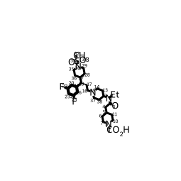 CCN(C(=O)CC1CCN(C(=O)O)CC1)C1CCN(CC[C@@H](c2cc(F)cc(F)c2)C2CCN(S(C)(=O)=O)CC2)CC1